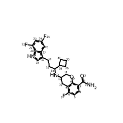 NC(=O)c1ccc(F)c2c1OCC(NC(CCc1c[nH]c3c(F)cc(F)cc13)C1CCC1)C2